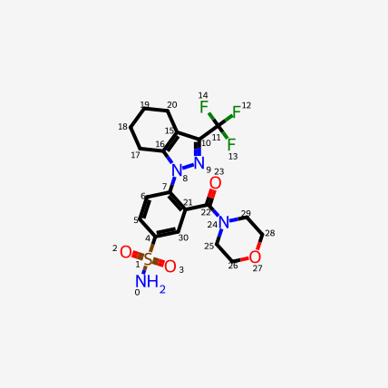 NS(=O)(=O)c1ccc(-n2nc(C(F)(F)F)c3c2CCCC3)c(C(=O)N2CCOCC2)c1